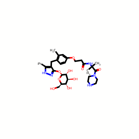 Cc1cc(OCCC(=O)NC(C)(C)C(=O)N2CCNCC2)ccc1Cc1c(O[C@@H]2O[C@H](CO)[C@@H](O)[C@H](O)[C@H]2O)n[nH]c1C(C)C